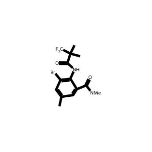 CNC(=O)c1cc(C)cc(Br)c1NC(=O)C(C)(C)C(F)(F)F